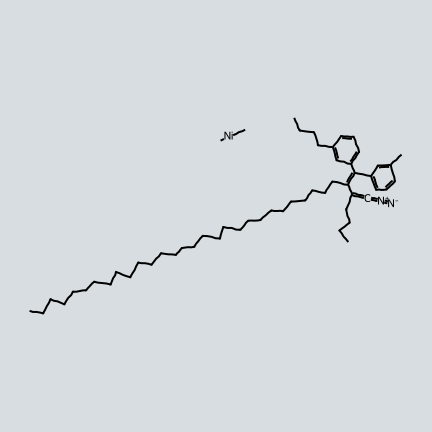 CCCCCCCCCCCCCCCCCCCCCCCCCCCCCC(C(=C=[N+]=[N-])CCCC)=C(c1cccc(C)c1)c1cccc(CCCC)c1.[CH3][Ni][CH3]